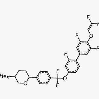 CCCCCCC1CCC(c2ccc(C(F)(F)Oc3ccc(-c4cc(F)c(OC=C(F)F)c(F)c4)c(F)c3)cc2)OC1